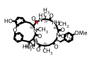 COc1ccc(C[C@H]2C(=O)C[C@H](C)C(=O)N(C)[C@@H]3C(=O)N(C)[C@@H](Cc4ccc(O)c(c4)Oc4ccc(cc4)[C@H]3O)C(=O)N[C@@H](C)C(=O)N[C@H](C)C(=O)N2C)cc1